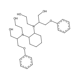 OCCN(C(CO)COc1ccccc1)C1CCCCC1N(CCO)C(CO)COc1ccccc1